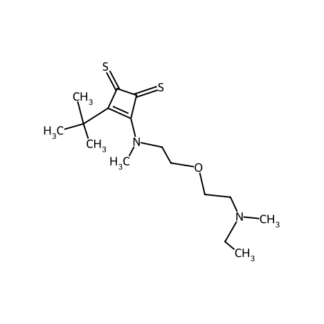 CCN(C)CCOCCN(C)c1c(C(C)(C)C)c(=S)c1=S